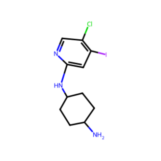 NC1CCC(Nc2cc(I)c(Cl)cn2)CC1